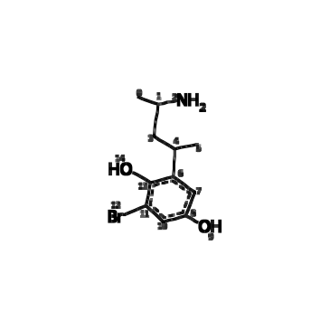 CC(N)CC(C)c1cc(O)cc(Br)c1O